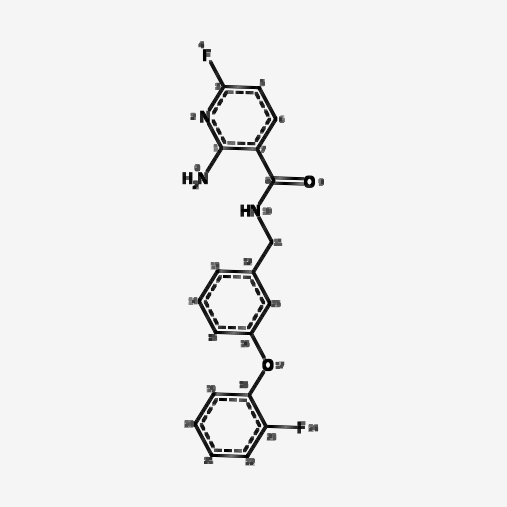 Nc1nc(F)ccc1C(=O)NCc1cccc(Oc2ccccc2F)c1